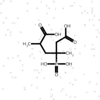 CC(CC(C)(CC(=O)O)P(=O)(O)O)C(=O)O